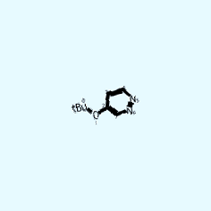 CC(C)(C)Oc1ccnnc1